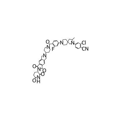 CC1CC2(CCN(c3ccc(C(=O)N4CCC(N5Cc6cc7c(cc6C5)C(=O)N(C5CCC(=O)NC5=O)C7=O)CC4)c(F)c3)CC2)CN1c1ccc(C#N)c(Cl)c1